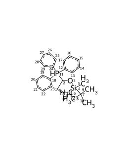 C=CC(O[Si](C)(C)C(C)(C)C)[PH](c1ccccc1)(c1ccccc1)c1ccccc1